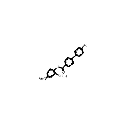 COc1ccc(OC(=O)c2ccc(-c3ccc(C(C)=O)cc3)cc2)c(S(=O)(=O)O)c1